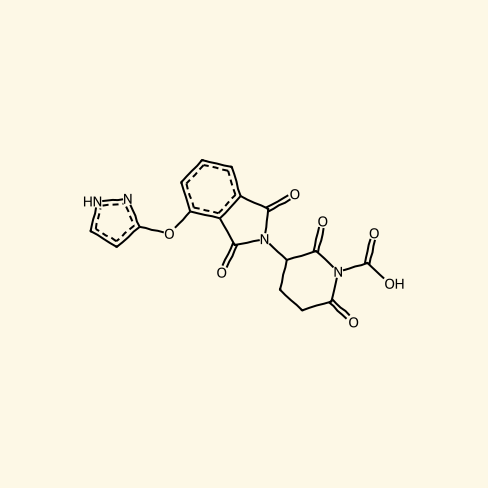 O=C(O)N1C(=O)CCC(N2C(=O)c3cccc(Oc4cc[nH]n4)c3C2=O)C1=O